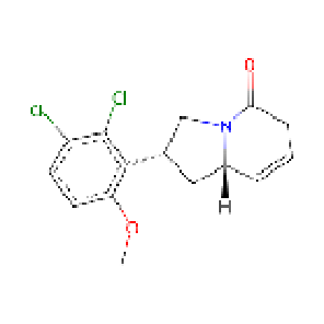 COc1ccc(Cl)c(Cl)c1[C@H]1C[C@H]2C=CCC(=O)N2C1